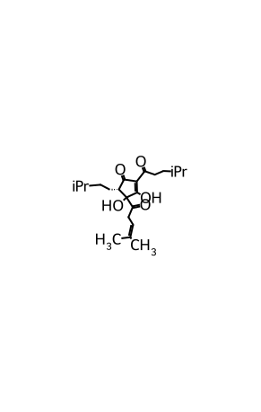 CC(C)=CCC(=O)C1(O)C(O)=C(C(=O)CCC(C)C)C(=O)[C@H]1CCC(C)C